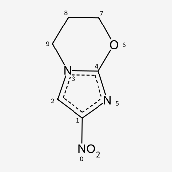 O=[N+]([O-])c1cn2c(n1)OCCC2